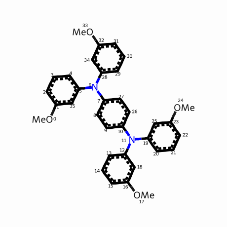 COc1cccc(N(c2ccc(N(c3cccc(OC)c3)c3cccc(OC)c3)cc2)c2cccc(OC)c2)c1